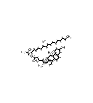 CC(C)CCC[C@@H](C)[C@H]1CCC2C3CC=C4CC(O)CC[C@]4(C)C3CC[C@@]21C.CCCCCCCCCCCCCCCC[N+](C)(C)C.[Br-]